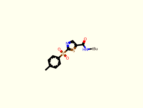 Cc1ccc(S(=O)(=O)c2ncc(C(=O)NC(C)(C)C)s2)cc1